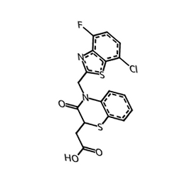 O=C(O)CC1Sc2ccccc2N(Cc2nc3c(F)ccc(Cl)c3s2)C1=O